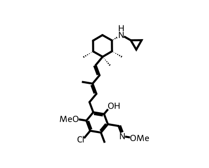 CO/N=C/c1c(C)c(Cl)c(OC)c(C/C=C(C)/C=C/[C@@]2(C)[C@H](C)CC[C@H](NC3CC3)[C@@H]2C)c1O